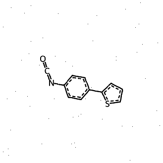 O=C=Nc1ccc(-c2cccs2)cc1